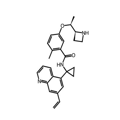 C=Cc1cc(C2(NC(=O)c3cc(O[C@@H](C)[C@@H]4CCN4)ccc3C)CC2)c2cccnc2c1